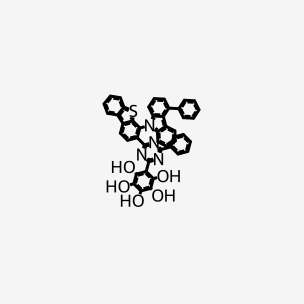 Oc1c(O)c(O)c(-c2nc(-c3ccccc3)nc(-c3ccc4c(sc5ccccc54)c3-n3c4ccccc4c4c(-c5ccccc5)cccc43)n2)c(O)c1O